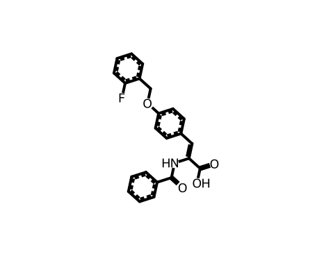 O=C(O)C(=Cc1ccc(OCc2ccccc2F)cc1)NC(=O)c1ccccc1